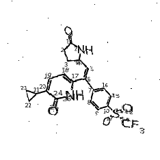 O=C1CC[C@H](C=C(c2ccc(S(=O)(=O)C(F)(F)F)cc2)c2ccc(C3CC3)c(=O)[nH]2)N1